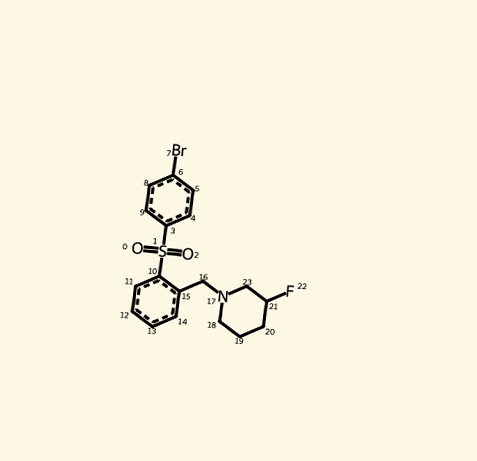 O=S(=O)(c1ccc(Br)cc1)c1ccccc1CN1CCCC(F)C1